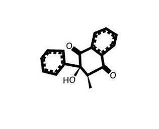 C[C@@H]1C(=O)c2ccccc2C(=O)[C@@]1(O)c1ccccc1